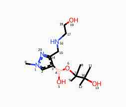 Cn1cc(B(O)OC(C)(C)C(C)(C)O)c(CNCCO)n1